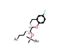 CC(=O)CCC[C@@H](O[Si](C)(C)C(C)(C)C)[C@@H]1CCc2cc(F)ccc2O1